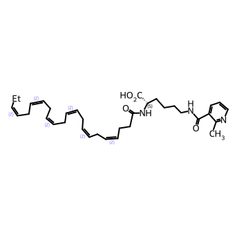 CC/C=C\C/C=C\C/C=C\C/C=C\C/C=C\C/C=C\CCC(=O)N[C@@H](CCCCNC(=O)c1cccnc1C)C(=O)O